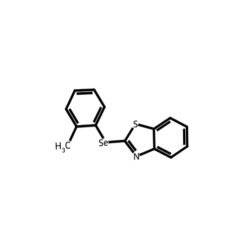 Cc1ccccc1[Se]c1nc2ccccc2s1